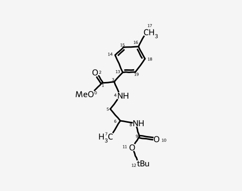 COC(=O)C(NCC(C)NC(=O)OC(C)(C)C)c1ccc(C)cc1